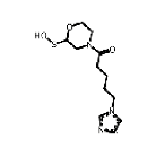 O=C(CCCCn1c[c]nc1)N1CCOC(SO)C1